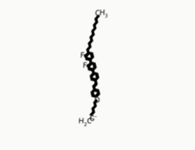 [CH2+][CH-]CCCCCOc1ccc(C=Cc2ccc(-c3ccc(-c4ccc(CCCCCCCCCCCCC)c(F)c4)c(F)c3)cc2)cc1